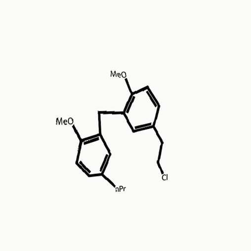 CCCc1ccc(OC)c(Cc2cc(CCCl)ccc2OC)c1